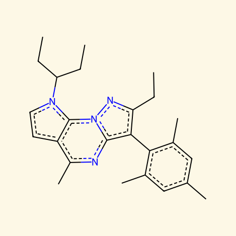 CCc1nn2c(nc(C)c3ccn(C(CC)CC)c32)c1-c1c(C)cc(C)cc1C